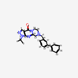 CC(C)n1ncc2c(=O)n3c(nc21)CN(Cc1cccc(-c2ccccc2)c1)CC3